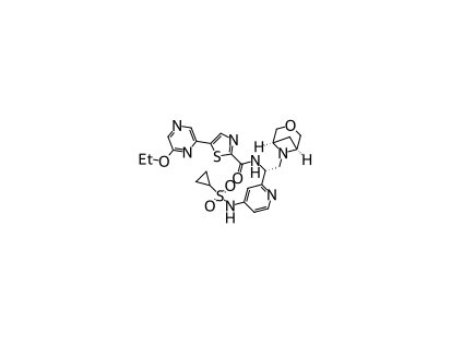 CCOc1cncc(-c2cnc(C(=O)N[C@H](CN3[C@@H]4COC[C@H]3C4)c3cc(NS(=O)(=O)C4CC4)ccn3)s2)n1